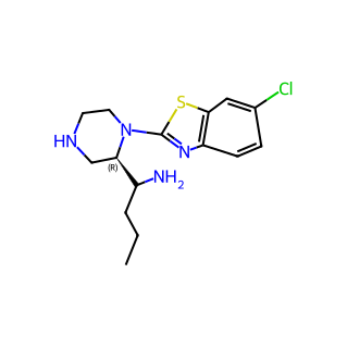 CCCC(N)[C@H]1CNCCN1c1nc2ccc(Cl)cc2s1